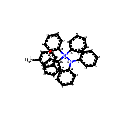 Cc1cccc(-c2ccccc2N(c2ccccc2)[N+](c2ccccc2)(c2ccccc2)c2ccccc2)c1